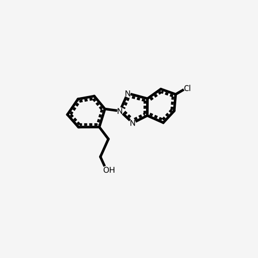 OCCc1ccccc1-n1nc2ccc(Cl)cc2n1